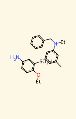 CCN(Cc1ccccc1)c1cccc(C)c1.CCOc1ccc(N)cc1S(=O)(=O)O